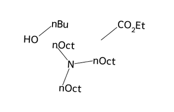 CCCCCCCCN(CCCCCCCC)CCCCCCCC.CCCCO.CCOC(C)=O